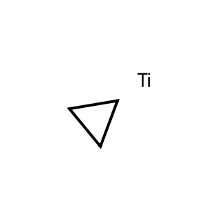 C1CC1.[Ti]